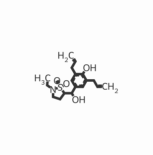 C=CCc1cc(C(O)C2CCN(CC)S2(=O)=O)cc(CC=C)c1O